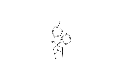 N#CC1(Nc2ccc(F)cc2)CC2CCC(C1)N2Cc1ccccc1